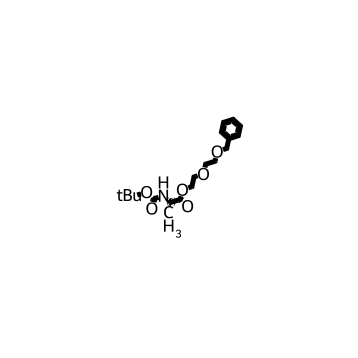 C[C@H](NC(=O)OC(C)(C)C)C(=O)OCCOCCOCc1ccccc1